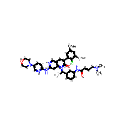 COc1cc(OC)c(Cl)c(-c2cc3cnc(Nc4ccc(N5CCOCC5)cn4)cc3n(C(C)c3cccc(NC(=O)/C=C/CN(C)C)c3)c2=O)c1